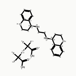 O=C(O)C(F)(F)F.O=C(O)C(F)(F)F.c1ccc2c(c1)OCC[C@@H]2NCCN[C@H]1CCOc2ccccc21